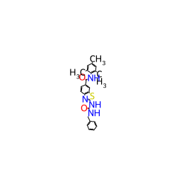 Cc1cc(C)c(NC(=O)c2ccc3nc(NC(=O)NCc4ccccc4)sc3c2)c(C)c1